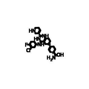 N[C@H](O)[C@H]1CC=C([C@@H]2CCC3=C(C2)[C@@H](N[C@H]2CCC(F)=C(Cl)C2)N[C@@H](C2=CCCNC2)N3)CC1